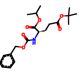 CC(C)OC(=O)[C@H](CCC(=O)OC(C)(C)C)NC(=O)OCc1ccccc1